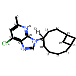 Cc1cc(Cl)c2ncn([C@H]3CCCCC4CC(CC3)C4)c2n1